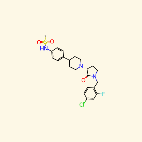 CS(=O)(=O)Nc1ccc(C2CCN([C@@H]3CCN(Cc4ccc(Cl)cc4F)C3=O)CC2)cc1